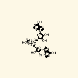 O=P(O)(O)OP(=O)(OC[C@H]1O[C@@H](n2cnc3c(O)ncnc32)[C@H](O)[C@@H]1O)OC[C@H]1O[C@@H](n2cnc3c(O)ncnc32)[C@H](O)[C@@H]1O